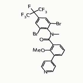 COc1c(C(=O)N(C)c2c(Br)cc(C(F)(C(F)(F)F)C(F)(F)F)cc2Br)cccc1-c1ccncc1